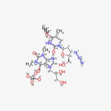 Cc1cn([C@H]2C[C@H](N=[N+]=[N-])[C@@H](CO)O2)c(=O)[nH]c1=O.Cn1c(=O)c2c(ncn2CC(O)CO)n(C)c1=O.O=[Se](=O)([O-])[O-].[Na+].[Na+]